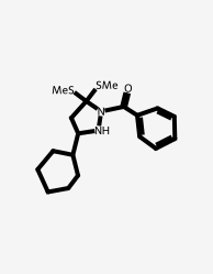 CSC1(SC)CC(C2CCCCC2)NN1C(=O)c1ccccc1